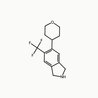 FC(F)(F)c1cc2c(cc1C1CCOCC1)CNC2